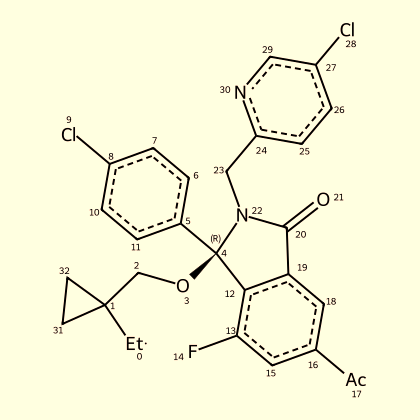 C[CH]C1(CO[C@]2(c3ccc(Cl)cc3)c3c(F)cc(C(C)=O)cc3C(=O)N2Cc2ccc(Cl)cn2)CC1